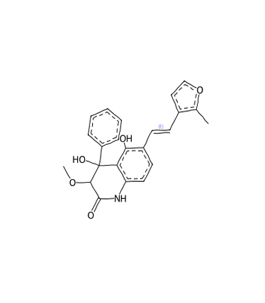 COC1C(=O)Nc2ccc(/C=C/c3ccoc3C)c(O)c2C1(O)c1ccccc1